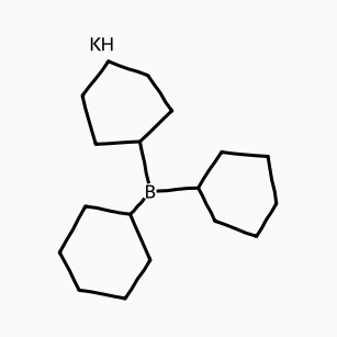 C1CCC(B(C2CCCCC2)C2CCCCC2)CC1.[KH]